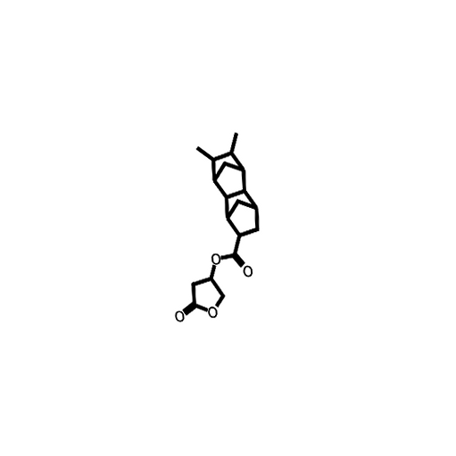 CC1C(C)C2CC1C1C3CC(C(=O)OC4COC(=O)C4)C(C3)C21